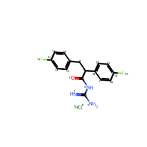 Cl.N=C(N)NC(=O)C(Cc1ccc(F)cc1)c1ccc(F)cc1